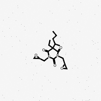 CCCC(C)C1(CC)C(=O)N(CC2CO2)C(=O)N(CC2CO2)C1=O